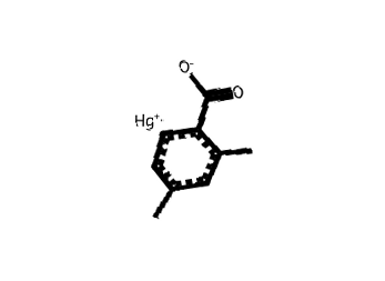 Cc1ccc(C(=O)[O-])c(C)c1.[Hg+]